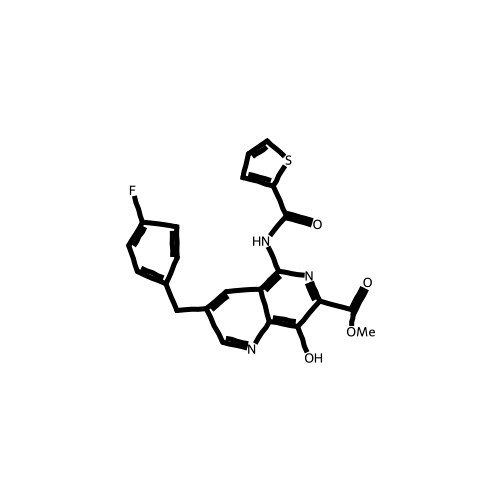 COC(=O)c1nc(NC(=O)c2cccs2)c2cc(Cc3ccc(F)cc3)cnc2c1O